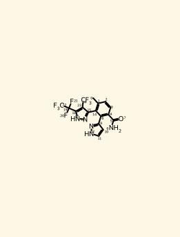 Cc1ccc(C(N)=O)c(-c2cc[nH]n2)c1-c1n[nH]c(C(F)(F)C(F)(F)F)c1C(F)(F)F